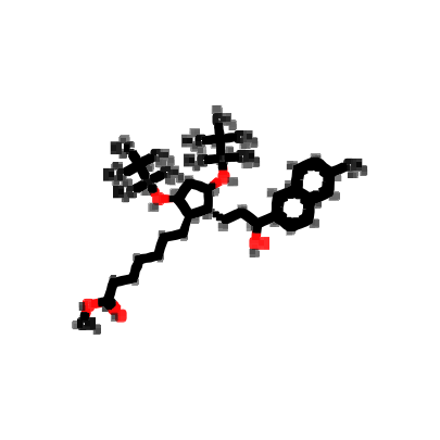 COC(=O)CCCCCC[C@@H]1[C@@H](CCC(O)c2ccc3cc(C)ccc3c2)[C@H](O[Si](C)(C)C(C)(C)C)C[C@@H]1O[Si](C)(C)C(C)(C)C